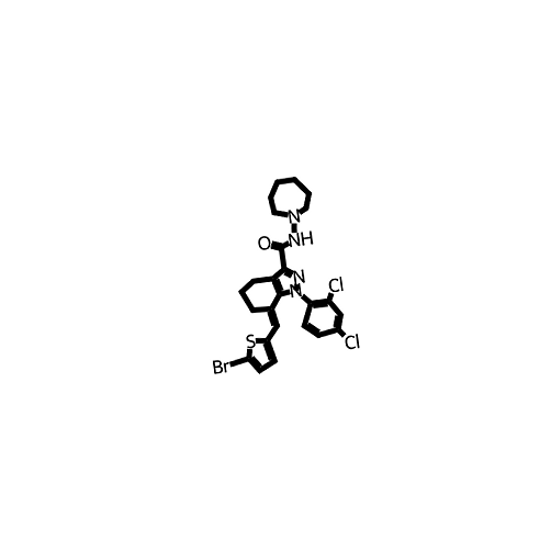 O=C(NN1CCCCCC1)c1nn(-c2ccc(Cl)cc2Cl)c2c1CCC/C2=C\c1ccc(Br)s1